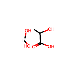 CC(O)C(=O)O.[OH][Ti][OH]